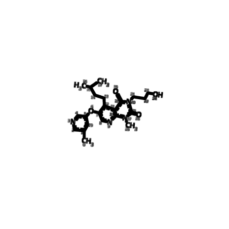 Cc1cncc(Oc2cnc3c(c2CCC(C)C)c(=O)n(CCCO)c(=O)n3C)c1